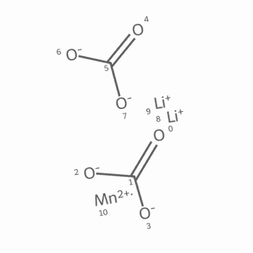 O=C([O-])[O-].O=C([O-])[O-].[Li+].[Li+].[Mn+2]